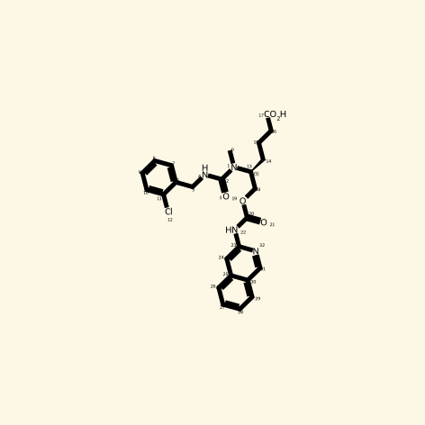 CN(C(=O)NCc1ccccc1Cl)[C@@H](CCCC(=O)O)COC(=O)Nc1cc2ccccc2cn1